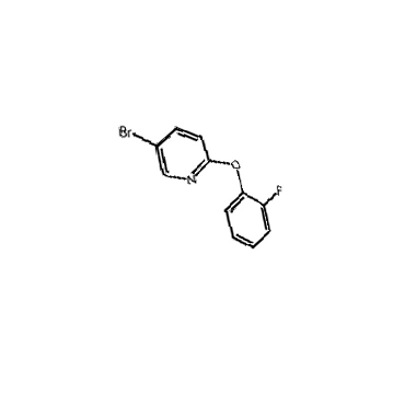 Fc1ccccc1Oc1ccc(Br)cn1